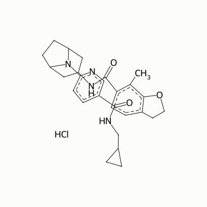 Cc1c(C(=O)NC2CC3CCC(C2)N3c2ccc(C(=O)NCC3CC3)cn2)ccc2c1OCC2.Cl